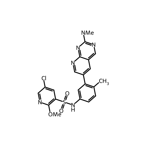 CNc1ncc2cc(-c3cc(NS(=O)(=O)c4cc(Cl)cnc4OC)ccc3C)cnc2n1